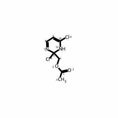 CC(=O)OCC1(Cl)N=CC=C(Cl)N1